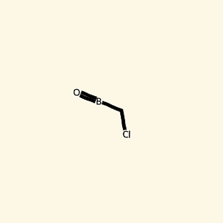 O=BCCl